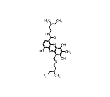 CCN(C)CC/N=C/c1c(O)c(C)c(O)c2nc3c(C(=O)NCCN(C)CC)ccc(O)c3nc12